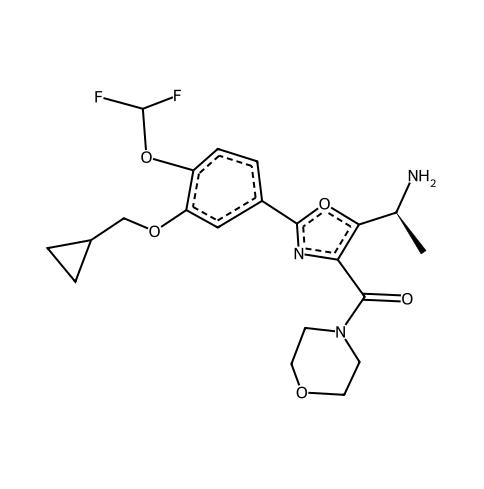 C[C@H](N)c1oc(-c2ccc(OC(F)F)c(OCC3CC3)c2)nc1C(=O)N1CCOCC1